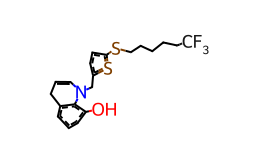 Oc1cccc2c1N(Cc1ccc(SCCCCCC(F)(F)F)s1)C=CC2